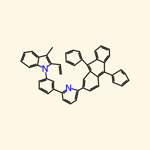 C=Cc1c(C)c2ccccc2n1-c1cccc(-c2cccc(-c3ccc4c(-c5ccccc5)c5ccccc5c(-c5ccccc5)c4c3)n2)c1